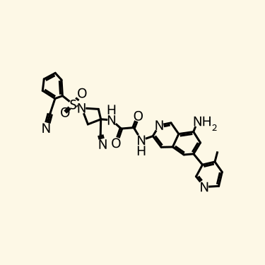 Cc1ccncc1-c1cc(N)c2cnc(NC(=O)C(=O)NC3(C#N)CN(S(=O)(=O)c4ccccc4C#N)C3)cc2c1